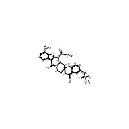 CNC(=O)Nc1sc2c(OC)cccc2c1C(=O)N1CCC2(CC1)CC(=O)c1cc(NS(C)(=O)=O)ccc1O2